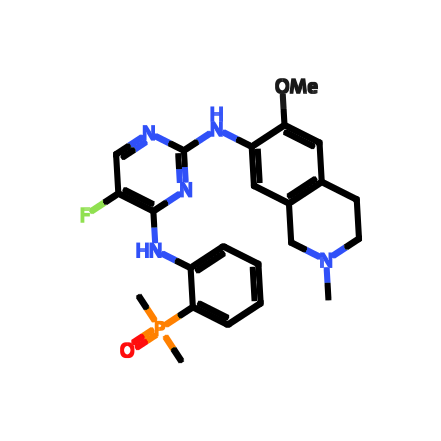 COc1cc2c(cc1Nc1ncc(F)c(Nc3ccccc3P(C)(C)=O)n1)CN(C)CC2